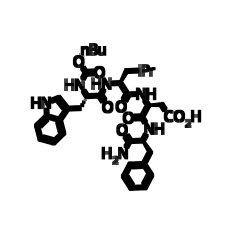 CCCCOC(=O)N[C@@H](Cc1c[nH]c2ccccc12)C(=O)N[C@@H](CC(C)C)C(=O)N[C@@H](CC(=O)O)C(=O)N[C@@H](Cc1ccccc1)C(N)=O